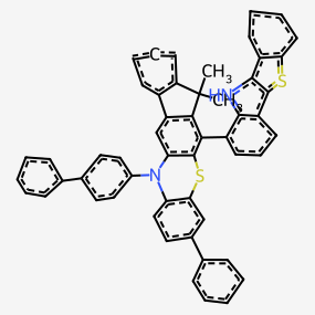 CC1(C)c2ccccc2-c2cc3c(c(-c4cccc5c4[nH]c4c6ccccc6sc54)c21)Sc1cc(-c2ccccc2)ccc1N3c1ccc(-c2ccccc2)cc1